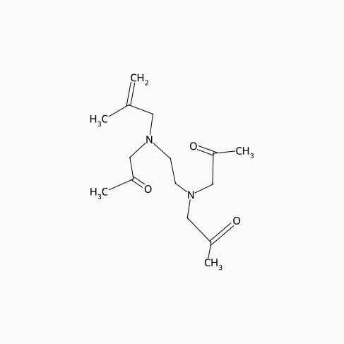 C=C(C)CN(CCN(CC(C)=O)CC(C)=O)CC(C)=O